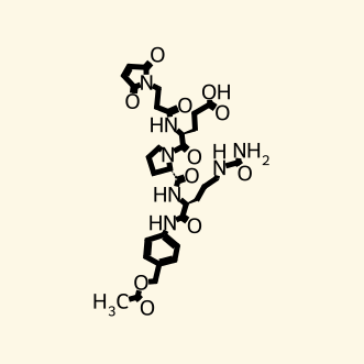 CC(=O)OCc1ccc(NC(=O)[C@H](CCCNC(N)=O)NC(=O)[C@@H]2CCCN2C(=O)[C@H](CCC(=O)O)NC(=O)CCN2C(=O)C=CC2=O)cc1